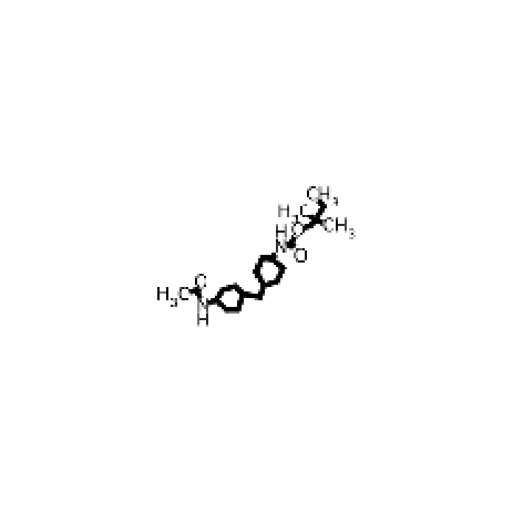 CCC(C)(C)COC(=O)NC1CCC(CC2CCC(NC(C)=O)CC2)CC1